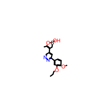 CCCOc1cc(-c2cc(C3=C(C)OB(O)C3)cnn2)ccc1OC